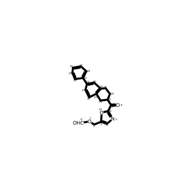 O=COCc1cnc(C(=O)C2CCc3cc(-c4ccccc4)ccc3C2)o1